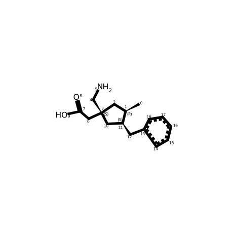 C[C@@H]1C[C@@](CN)(CC(=O)O)C[C@@H]1Cc1ccccc1